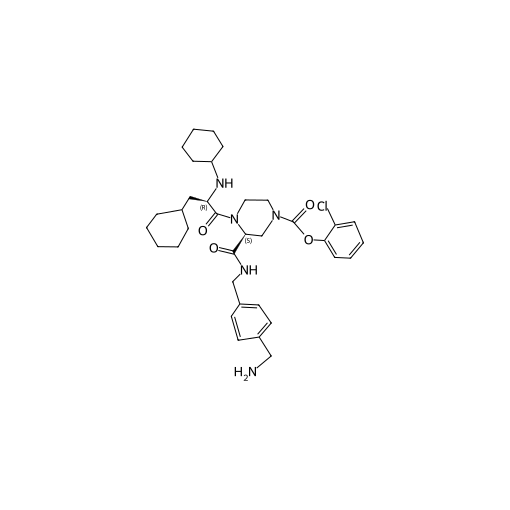 NCc1ccc(CNC(=O)[C@@H]2CN(C(=O)Oc3ccccc3Cl)CCN2C(=O)[C@@H](CC2CCCCC2)NC2CCCCC2)cc1